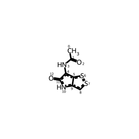 CC(=O)Nc1c2sscc-2[nH]c1=O